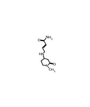 CN1CCC(NCC=CC(N)=O)CC1=O